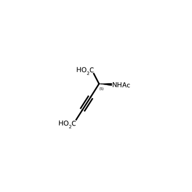 CC(=O)N[C@@H](C#CC(=O)O)C(=O)O